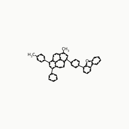 Cc1ccc(-c2cc(-c3ccccc3)c3ccc4c(-c5ccc(-c6cccc7c6oc6ccccc67)cc5)cc(C)c5ccc2c3c54)cc1